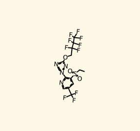 CCS(=O)(=O)c1cc(C(F)(F)F)cnc1-n1cnc(OCC(F)(F)C(F)(F)C(F)(F)F)n1